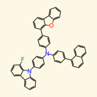 Fc1cccc2c3ccccc3n(-c3ccc(N(c4ccc(-c5cccc6ccccc56)cc4)c4ccc(-c5cccc6c5oc5ccccc56)cc4)cc3)c12